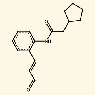 O=[C]/C=C/c1ccccc1NC(=O)CC1CCCC1